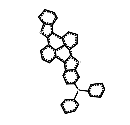 c1ccc(N(c2ccccc2)c2ccc3c(c2)oc2c4cccc5c6c7ccccc7oc6c6cccc(c32)c6c45)cc1